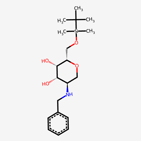 CC(C)(C)[Si](C)(C)OC[C@@H]1OC[C@@H](NCc2ccccc2)[C@H](O)[C@@H]1O